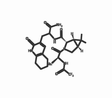 CC(C)(C)[C@H](NC(=O)C(F)(F)F)C(=O)N1C[C@H]2[C@@H]([C@H]1C(=O)NC(Cc1cc3c([nH]c1=O)CCCC3)C(N)=O)C2(C)C